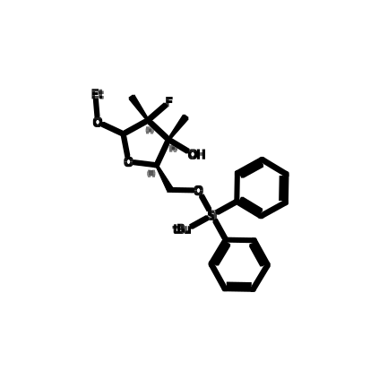 CCOC1O[C@H](CO[Si](c2ccccc2)(c2ccccc2)C(C)(C)C)[C@@](C)(O)[C@@]1(C)F